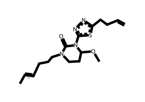 C=CCCc1nnc(N2C(=O)N(CCC/C=C/C)CCC2OC)s1